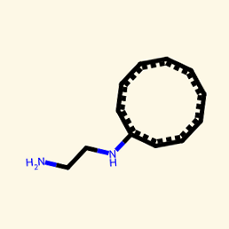 NCCNc1ccccccccc1